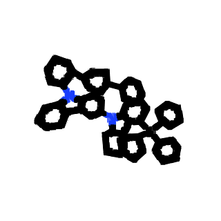 c1ccc(-c2ccc(-c3ccccc3-n3c4ccccc4c4cc(-n5c6ccccc6c6c([Si](c7ccccc7)(c7ccccc7)c7ccccc7)cccc65)ccc43)cc2)cc1